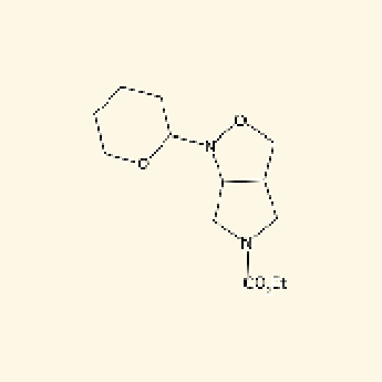 CCOC(=O)N1CC2CON(C3CCCCO3)C2C1